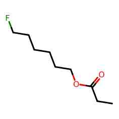 CCC(=O)OCCCCCCF